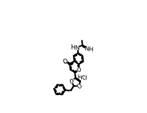 CC(=N)Nc1ccc2oc(C3=COC(Cc4ccccc4)O3)cc(=O)c2c1.Cl